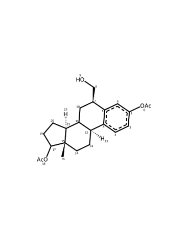 CC(=O)Oc1ccc2c(c1)[C@H](CO)CC1[C@@H]2CC[C@]2(C)C(OC(C)=O)CC[C@@H]12